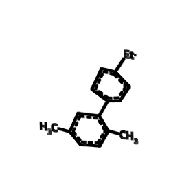 C[CH]c1ccc(-c2cc(C)ccc2C)cc1